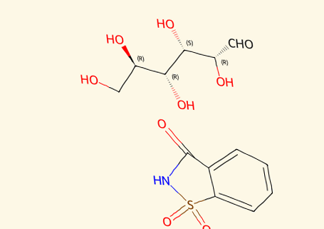 O=C1NS(=O)(=O)c2ccccc21.O=C[C@H](O)[C@@H](O)[C@H](O)[C@H](O)CO